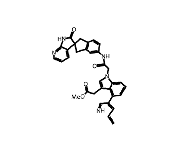 C=C/C=C(\C=N)c1cccc2c1c(CC(=O)OC)cn2CC(=O)Nc1ccc2c(c1)CC1(C2)C(=O)Nc2ncccc21